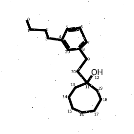 CCCCc1cccc(CCC2(O)CCCCCCC2)c1